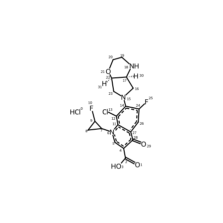 Cl.O=C(O)c1cn(C2CC2F)c2c(Cl)c(N3C[C@@H]4NCCO[C@@H]4C3)c(F)cc2c1=O